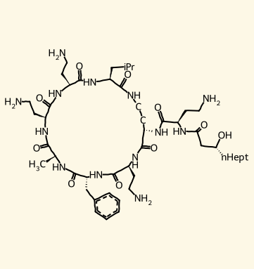 CCCCCCC[C@@H](O)CC(=O)N[C@H](CCN)C(=O)N[C@H]1CCNC(=O)[C@H](CC(C)C)NC(=O)[C@H](CCN)NC(=O)[C@H](CCN)NC(=O)[C@H](C)NC(=O)[C@@H](Cc2ccccc2)NC(=O)[C@H](CCN)NC1=O